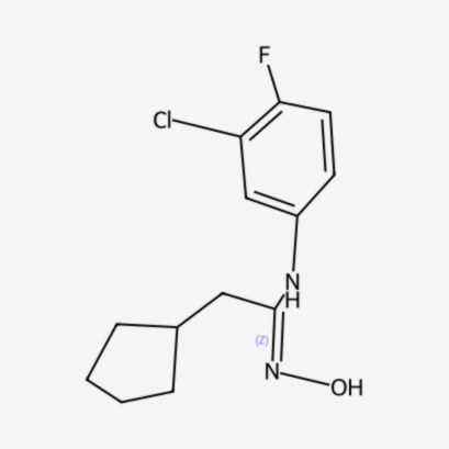 O/N=C(/CC1CCCC1)Nc1ccc(F)c(Cl)c1